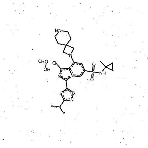 CC1(NS(=O)(=O)c2cc(N3CC4(CCNCC4)C3)c3c(Cl)nc(-c4nnc(C(F)F)s4)n3c2)CC1.O=CO